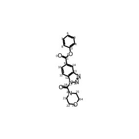 O=C(Oc1ccccc1)c1ccc2c(c1)nnn2C(=O)N1CCOCC1